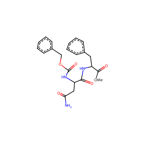 COC(=O)C(Cc1ccccc1)NC(=O)C(CC(N)=O)NC(=O)OCc1ccccc1